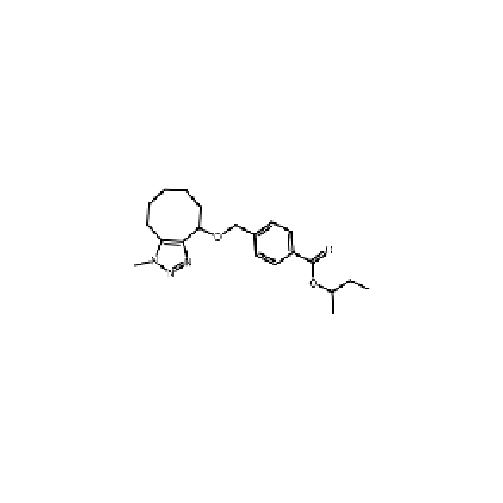 CCC(C)OC(=O)c1ccc(COC2CCCCCc3c2nnn3C)cc1